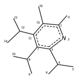 Cc1nc(C(C)C)c(C(C)C)c(C(C)C)c1C